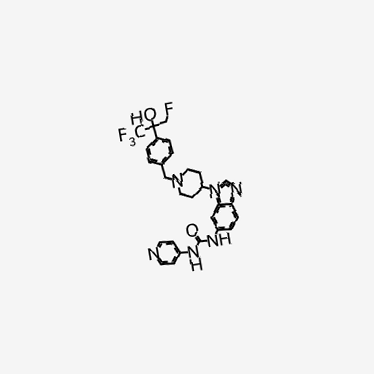 O=C(Nc1ccncc1)Nc1ccc2ncn(C3CCN(Cc4ccc(C(O)(CF)C(F)(F)F)cc4)CC3)c2c1